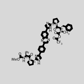 COC(=O)N[C@H](C(=O)N1CCC[C@H]1c1nc(-c2ccc(-c3cnc4cc(-c5cnc([C@@H]6CCCN6C(=O)[C@H](Cc6ccccc6)N(C)C(=O)OC(=O)C(F)(F)F)[nH]5)ccc4n3)cc2)c[nH]1)C(C)C